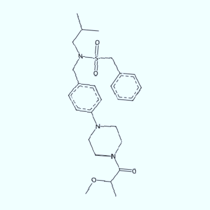 COC(C)C(=O)N1CCN(c2ccc(CN(CC(C)C)S(=O)(=O)Cc3ccccc3)cc2)CC1